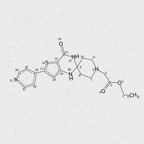 CCOC(=O)CN1CCC2(CC1)NC(=O)c1sc(-c3ccncc3)cc1N2